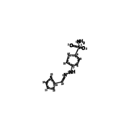 NS(=O)(=O)c1ccc(NN=Cc2cccs2)cc1